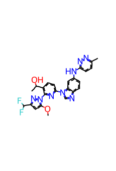 COc1cc(C(F)F)nn1-c1nc(-n2cnc3ccc(Nc4ccc(C)nn4)cc32)ccc1C(C)O